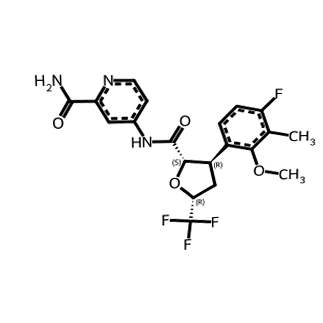 COc1c([C@H]2C[C@H](C(F)(F)F)O[C@@H]2C(=O)Nc2ccnc(C(N)=O)c2)ccc(F)c1C